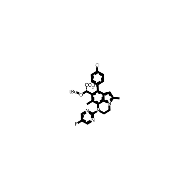 Cc1c([C@H](OC(C)(C)C)C(=O)O)c(-c2ccc(Cl)cc2)c2cc(C)n3c2c1N(c1ncc(F)cn1)CC3